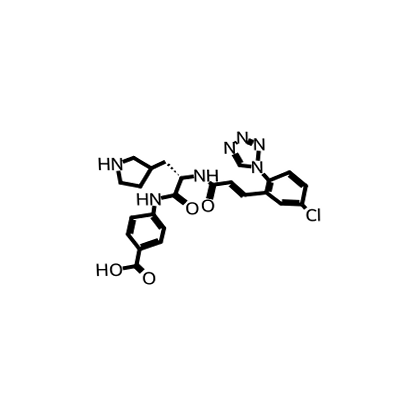 O=C(/C=C/c1cc(Cl)ccc1-n1cnnn1)N[C@@H](CC1CCNC1)C(=O)Nc1ccc(C(=O)O)cc1